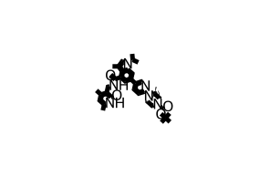 Cc1cc(C)c(CNC(=O)c2cc(-c3ccc(N4CCN(C(=O)OC(C)(C)C)C[C@H]4C)nc3)cc3c2c(C)cn3C(C)C)c(=O)[nH]1